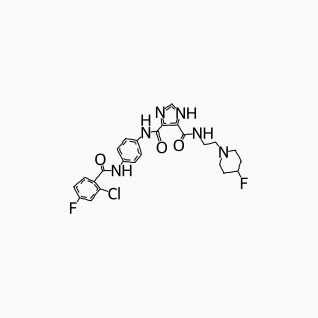 O=C(Nc1ccc(NC(=O)c2nc[nH]c2C(=O)NCCN2CCC(F)CC2)cc1)c1ccc(F)cc1Cl